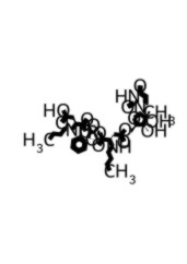 CCCCN[C@@H](CC(=O)O)C(=O)OP(=O)(OC(=O)[C@H](CC(=O)OC[C@H]1O[C@@H](n2ccc(=O)[nH]c2=O)[C@](C)(O)[C@@H]1O)NCCCC)Oc1ccccc1